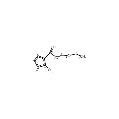 CCCCOC(=O)c1ccoc1[O]